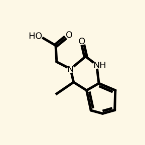 CC1c2ccccc2NC(=O)N1CC(=O)O